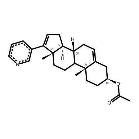 CC(=O)O[C@H]1CC[C@@]2(C)C(=CC[C@@H]3C2CC[C@]2(C)C(c4cccnc4)=CC[C@@H]32)C1